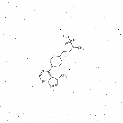 CN(CCC1CCN(c2ncnc3ncn(C)c23)CC1)S(N)(=O)=O